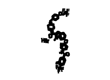 Br.Cc1cc(C(=O)N(C)c2ccc(Oc3ccc4cc(C(=O)N5CCN(Cc6ccc(OCC(F)(F)F)cc6)CC5)n(C)c4c3)nc2)ccc1C(F)(F)F